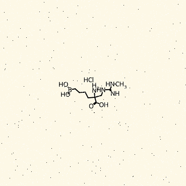 CNC(=N)NCC(N)(CCCCB(O)O)C(=O)O.Cl